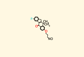 CC1(C)C2=C(C(=O)c3ccc(OCCCN=O)cc31)c1cc(F)ccc1C2